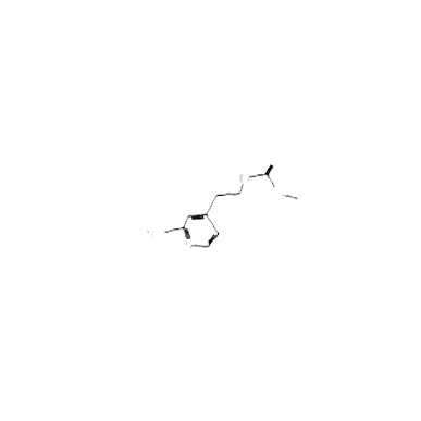 CC(C)(C)OC(=O)NCCc1ccnc(C#N)c1